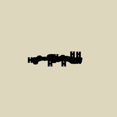 CCC(=O)NCCCC[C@H](NC(=O)COCCOCCNC(=O)COCCOCCNC(=O)CC[C@H](NC(=O)CCCCCCCCCOc1ccc(C(=O)O)cc1)C(=O)O)C(=O)O